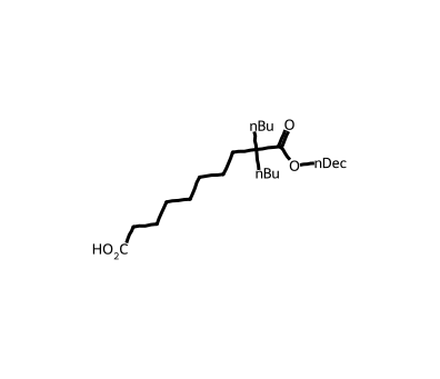 CCCCCCCCCCOC(=O)C(CCCC)(CCCC)CCCCCCCC(=O)O